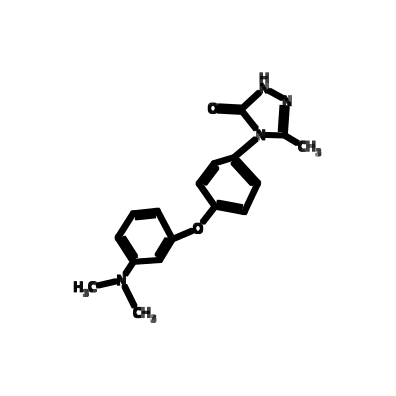 Cc1n[nH]c(=O)n1-c1ccc(Oc2cccc(N(C)C)c2)cc1